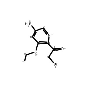 Bc1cnc(C(=O)CBr)c(SCC)c1